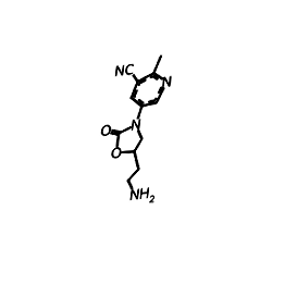 Cc1ncc(N2CC(CCN)OC2=O)cc1C#N